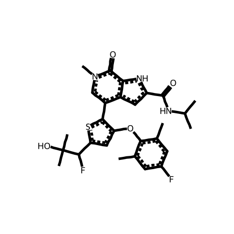 Cc1cc(F)cc(C)c1Oc1cc(C(F)C(C)(C)O)sc1-c1cn(C)c(=O)c2[nH]c(C(=O)NC(C)C)cc12